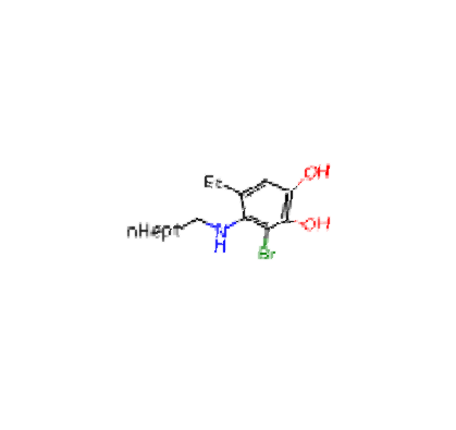 CCCCCCCCNc1c(CC)cc(O)c(O)c1Br